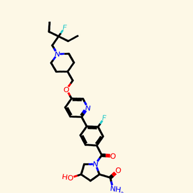 CCC(F)(CC)CN1CCC(COc2ccc(-c3ccc(C(=O)N4CC(O)CC4C(N)=O)cc3F)nc2)CC1